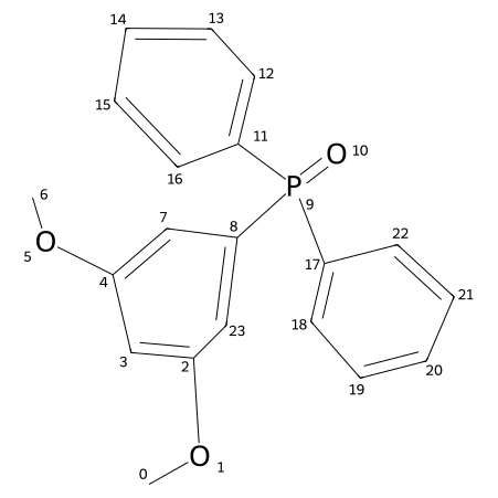 COc1cc(OC)cc(P(=O)(c2ccccc2)c2ccccc2)c1